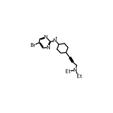 CCN(CC)CC#CC1CCC(N(C)c2ncc(Br)cn2)CC1